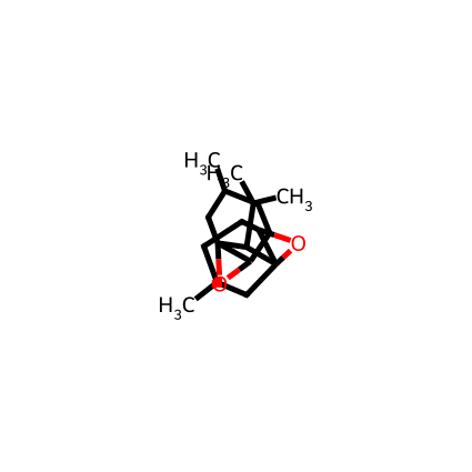 CC1CCC2OC2(C(C(C)C)C23CC(C)CCC2O3)C1